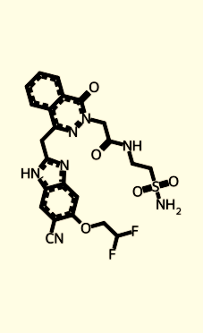 N#Cc1cc2[nH]c(Cc3nn(CC(=O)NCCS(N)(=O)=O)c(=O)c4ccccc34)nc2cc1OCC(F)F